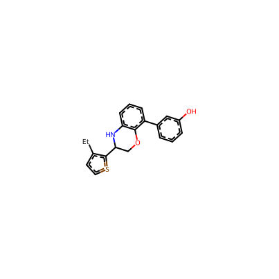 CCc1ccsc1C1COc2c(cccc2-c2cccc(O)c2)N1